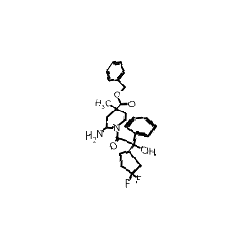 CC1(C(=O)OCc2ccccc2)CCN(C(=O)C(O)(c2ccccc2)[C@@H]2CCC(F)(F)C2)C(N)C1